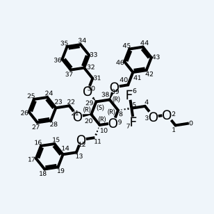 CCOOCC(F)(F)[C@@H]1O[C@H](COCc2ccccc2)[C@@H](OCc2ccccc2)[C@H](OCc2ccccc2)[C@H]1OCc1ccccc1